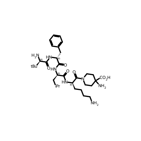 CC(C)C[C@@H](NC(=O)[C@@H](Cc1ccccc1)NC(=O)[C@H](N)C(C)(C)C)C(=O)N[C@H](CCCCN)C(=O)N1CCC(N)(C(=O)O)CC1